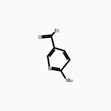 CCC(=O)c1ccc(C(C)(C)C)nc1